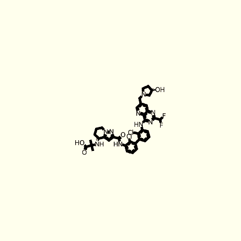 CC(C)(N[C@@H]1CCCn2nc(C(=O)Nc3cccc(-c4cccc(Nc5nc(C(F)F)nc6cc(CN7CC[C@@H](O)C7)cnc56)c4Cl)c3Cl)cc21)C(=O)O